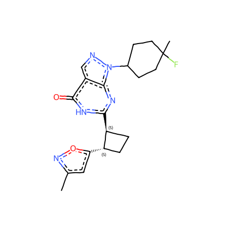 Cc1cc([C@H]2CC[C@@H]2c2nc3c(cnn3C3CCC(C)(F)CC3)c(=O)[nH]2)on1